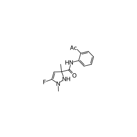 CC(=O)c1ccccc1NC(=O)C1(C)C=C(F)N(C)N1